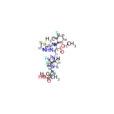 CCOC(=O)C1=C(CN2CC(F)(F)[C@H]3[C@@H]2CCN3C[C@@H](F)C(C)(C)C(=O)O)NC(c2nccs2)=N[C@H]1c1cccc(F)c1C